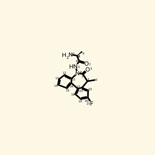 CC1C(=O)N(NC(=O)[C@H](C)N)c2ccccc2-c2ccc(F)cc21